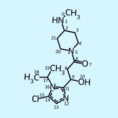 CNC1CCN(C(=O)CC(O)c2ncc(Cl)n2C(C)C)CC1